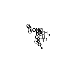 Cc1c(NC(=O)c2ccc(C3CC3)cc2)cccc1-c1cn(C)c(=O)c(Nc2ccc(C(=O)N3CCOCC3)cc2)n1